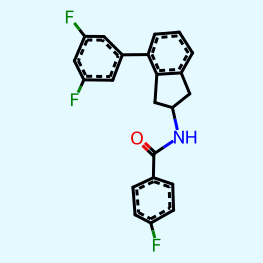 O=C(NC1Cc2cccc(-c3cc(F)cc(F)c3)c2C1)c1ccc(F)cc1